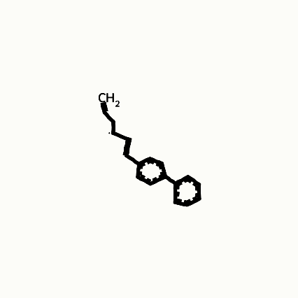 C=CC[CH]C=Cc1ccc(-c2ccccc2)cc1